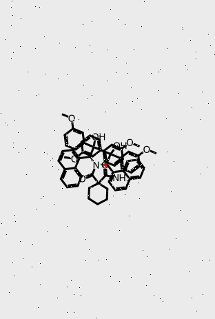 COc1cccc(C(O)(c2cccc(OC)c2)[C@H](c2cccc3ccccc23)N(C(=O)C2(C(N)=O)CCCCC2)[C@@H](c2cccc3ccccc23)C(O)(c2cccc(OC)c2)c2cccc(OC)c2)c1